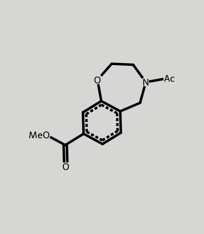 COC(=O)c1ccc2c(c1)OCCN(C(C)=O)C2